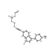 C=CCN(C)CCCC#Cc1ccc2c(c1)c(C)cn2-c1ccc(Br)cc1